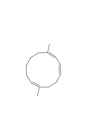 CC1=CCCCCC(C)=CC=CCC1